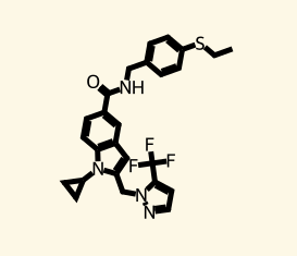 CCSc1ccc(CNC(=O)c2ccc3c(c2)cc(Cn2nccc2C(F)(F)F)n3C2CC2)cc1